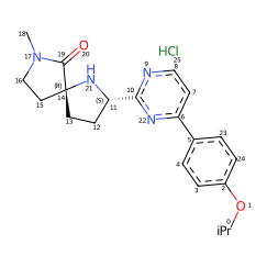 CC(C)Oc1ccc(-c2ccnc([C@@H]3CC[C@]4(CCN(C)C4=O)N3)n2)cc1.Cl